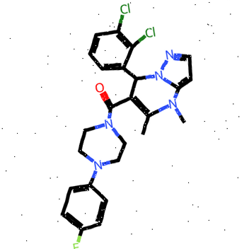 CC1=C(C(=O)N2CCN(c3ccc(F)cc3)CC2)C(c2cccc(Cl)c2Cl)n2nccc2N1C